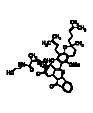 COc1c2c(c(CC=C(C)C)c3c1C1=C4C(C5CC(C(C)C)C4(O3)C(O)(C/C=C(/C)C(=O)NCCO)C5=O)C3C(=O)c4ccccc4C3=N1)OC(C)(CCC=C(C)C)C=C2